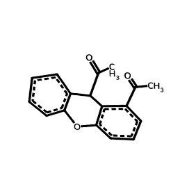 CC(=O)c1cccc2c1C(C(C)=O)c1ccccc1O2